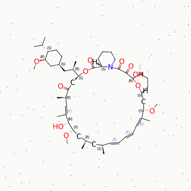 CO[C@H]1C[C@@H]2CC[C@@H](C)[C@@](O)(O2)C(=O)C(=O)N2CCCC[C@H]2C(=O)O[C@H]([C@H](C)C[C@@H]2CC[C@@H](C(C)C)[C@H](OC)C2)CC(=O)[C@H](C)/C=C(\C)[C@@H](O)[C@@H](OC)C[C@H](C)C[C@H](C)/C=C/C=C/C=C/1C